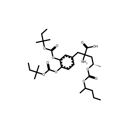 CCCC(C)OC(=O)O[C@@H](C)CC(N)(Cc1ccc(OC(=O)OC(C)(C)CC)c(OC(=O)OC(C)(C)CC)c1)C(=O)O